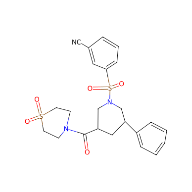 N#Cc1cccc(S(=O)(=O)N2CC(C(=O)N3CCS(=O)(=O)CC3)CC(c3ccccc3)C2)c1